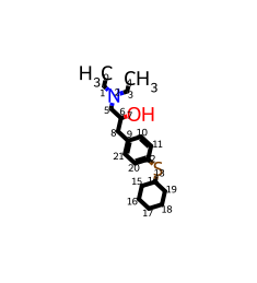 CCN(CC)CC(O)Cc1ccc(SC2CCCCC2)cc1